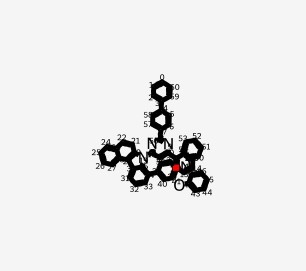 c1ccc(-c2ccc(-c3nc(-c4ccccc4)cc(-n4c5ccc6ccccc6c5c5cccc(-c6ccc7c(c6)Oc6ccccc6N7c6ccccc6)c54)n3)cc2)cc1